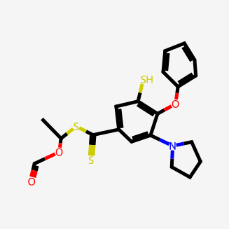 CC(OC=O)SC(=S)c1cc(S)c(Oc2ccccc2)c(N2CCCC2)c1